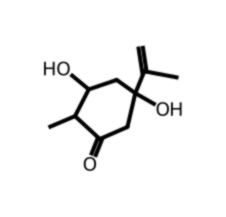 C=C(C)C1(O)CC(=O)C(C)C(O)C1